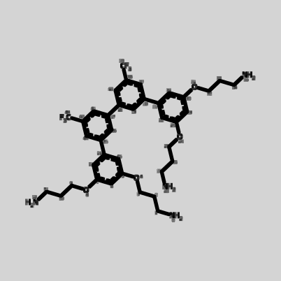 NCCCOc1cc(OCCCN)cc(-c2cc(-c3cc(-c4cc(OCCCN)cc(OCCCN)c4)cc(C(F)(F)F)c3)cc(C(F)(F)F)c2)c1